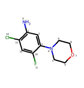 Nc1cc(N2CCOCC2)c(F)cc1Cl